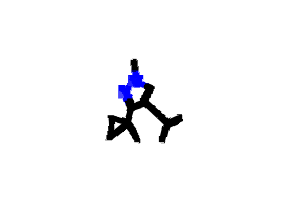 CC(C)c1cn(C)nc1C1(C)CC1